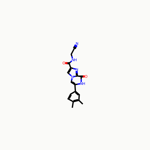 Cc1ccc(-c2cn3cc(C(=O)NCC#N)nc3c(=O)[nH]2)cc1C